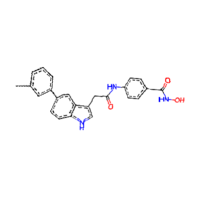 Cc1cccc(-c2ccc3[nH]cc(CC(=O)Nc4ccc(C(=O)NO)cc4)c3c2)c1